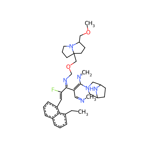 C=N/C(=C(/C=N\C)C(=N/COCC12CCCN1C(COC)CC2)\C(F)=C\c1cccc2cccc(CC)c12)N1CC2CCC(C1)N2